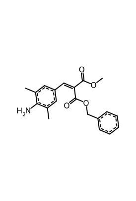 COC(=O)C(=Cc1cc(C)c(N)c(C)c1)C(=O)OCc1ccccc1